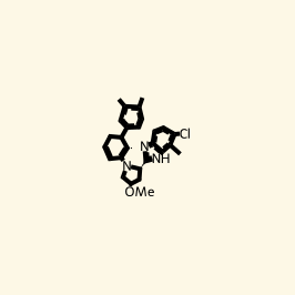 CO[C@@H]1C[C@@H](c2nc3ccc(Cl)c(C)c3[nH]2)N(C2=[C]C(c3ccc(C)c(C)c3)CC=C2)C1